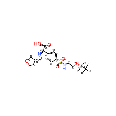 CC(C)(C)[Si](C)(C)OCCNS(=O)(=O)c1ccc(/C(=N\O[C@@H]2CCOC2)C(=O)O)cc1